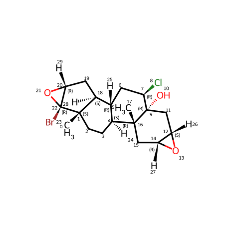 C[C@]12CC[C@H]3[C@@H](C[C@@H](Cl)[C@@]4(O)C[C@@H]5O[C@@H]5C[C@]34C)[C@@H]1C[C@H]1O[C@]12Br